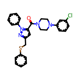 O=C(c1cc(CSc2ccccc2)nn1-c1ccccc1)N1CCN(c2cccc(Cl)c2)CC1